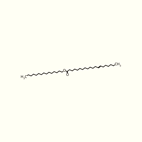 CCCCCCC=CCCCCCCCCCCCC(=O)OCCCCCCCCCCCCCCC